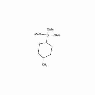 CO[Si](OC)(OC)C1CCC(C)CC1